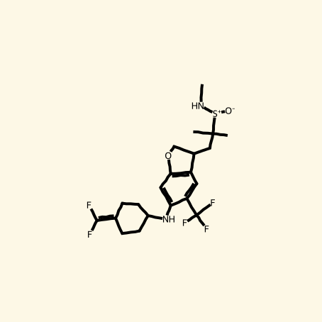 CN[S+]([O-])C(C)(C)CC1COc2cc(NC3CCC(=C(F)F)CC3)c(C(F)(F)F)cc21